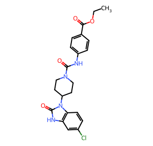 CCOC(=O)c1ccc(NC(=O)N2CCC(n3c(=O)[nH]c4cc(Cl)ccc43)CC2)cc1